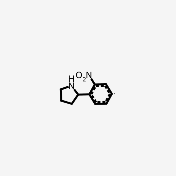 O=[N+]([O-])c1c[c]ccc1C1CCCN1